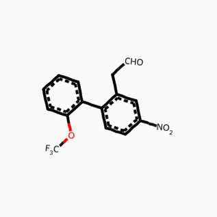 O=CCc1cc([N+](=O)[O-])ccc1-c1ccccc1OC(F)(F)F